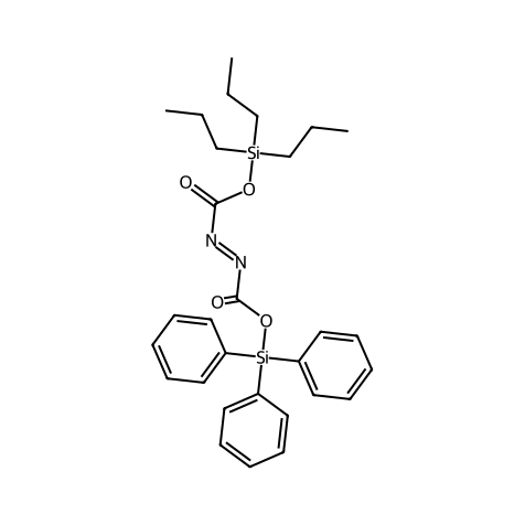 CCC[Si](CCC)(CCC)OC(=O)N=NC(=O)O[Si](c1ccccc1)(c1ccccc1)c1ccccc1